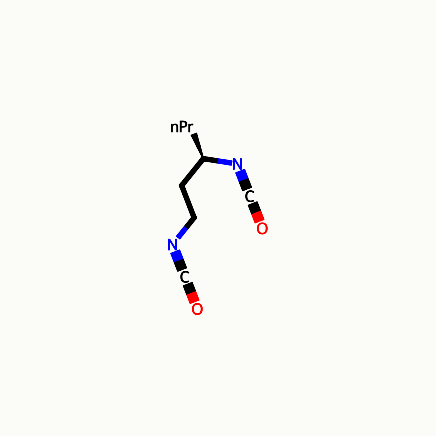 CCC[C@H](CCN=C=O)N=C=O